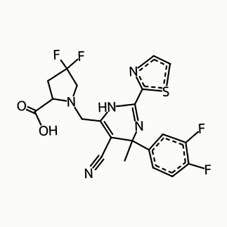 CC1(c2ccc(F)c(F)c2)N=C(c2nccs2)NC(CN2CC(F)(F)CC2C(=O)O)=C1C#N